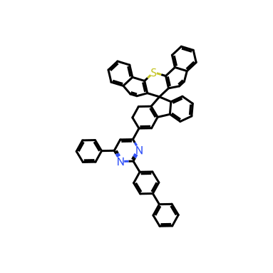 C1=C(c2cc(-c3ccccc3)nc(-c3ccc(-c4ccccc4)cc3)n2)CCC2=C1c1ccccc1C21c2ccc3ccccc3c2Sc2c1ccc1ccccc21